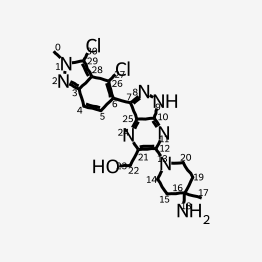 Cn1nc2ccc(-c3n[nH]c4nc(N5CCC(C)(N)CC5)c(CO)nc34)c(Cl)c2c1Cl